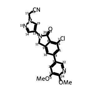 COc1cc(-c2cc(Cl)c3c(c2)CN(c2cnn(CC#N)c2)C3=O)cnc1OC